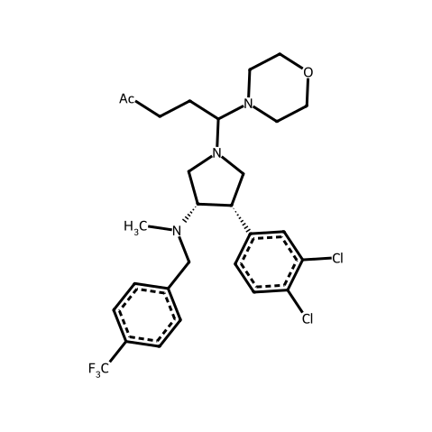 CC(=O)CCC(N1CCOCC1)N1C[C@H](c2ccc(Cl)c(Cl)c2)[C@H](N(C)Cc2ccc(C(F)(F)F)cc2)C1